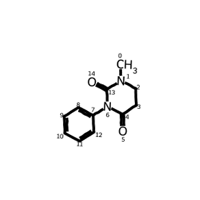 CN1CCC(=O)N(c2ccccc2)C1=O